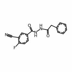 N#Cc1cc(C(=O)NNC(=O)Cc2ccccc2)ccc1F